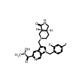 CN(O)C(=O)c1cc2c(CN3CC[C@@H]4CNC(=O)[C@H]4C3)cn(Cc3ccc(F)cc3F)c2cn1